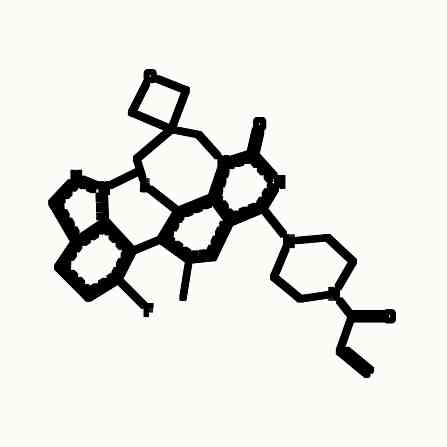 C=CC(=O)N1CCN(c2nc(=O)n3c4c(c(-c5c(F)ccc6cnn(C)c56)c(C)cc24)SCC2(COC2)C3)CC1